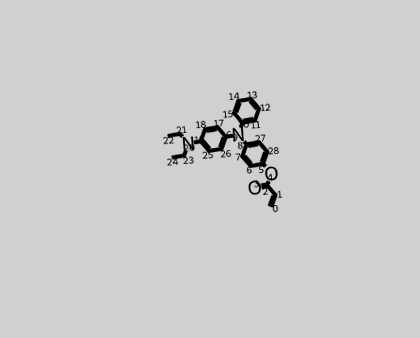 C=CC(=O)Oc1ccc(N(c2ccccc2)c2ccc(N(CC)CC)cc2)cc1